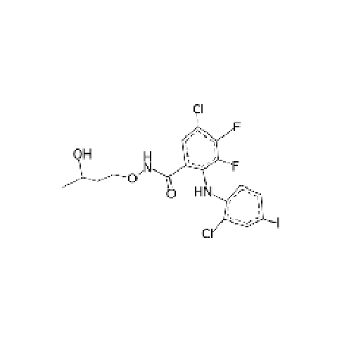 CC(O)CCONC(=O)c1cc(Cl)c(F)c(F)c1Nc1ccc(I)cc1Cl